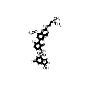 COc1cc(-c2c(F)ccc(NS(=O)(=O)c3cc(Cl)cc4c3CCC4O)c2F)cc2cnc(NCCN(C)C)nc12